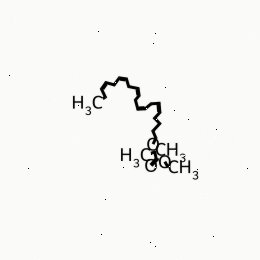 CC/C=C\C/C=C\C/C=C\C/C=C\C/C=C\CCCCOC(C)(C)C(=O)OCC